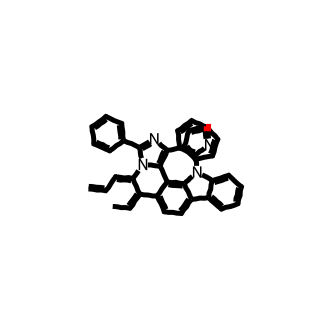 C=C/C=c1\c(=C/C)c2ccc3c4ccccc4n(-c4ccccn4)c3c2c2c(-c3ccccc3)nc(-c3ccccc3)n12